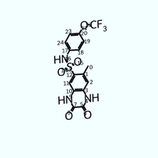 Cc1cc2[nH]c(=O)c(=O)[nH]c2cc1S(=O)(=O)Nc1ccc(OC(F)(F)F)cc1